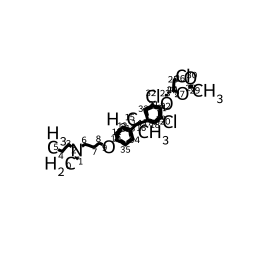 C=CN(CCC)CCCOc1ccc(C(C)(C)c2cc(Cl)c(OC[C@H](CCl)OC(C)=O)c(Cl)c2)cc1